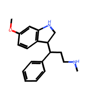 CNCCC(c1ccccc1)C1CNc2cc(OC)ccc21